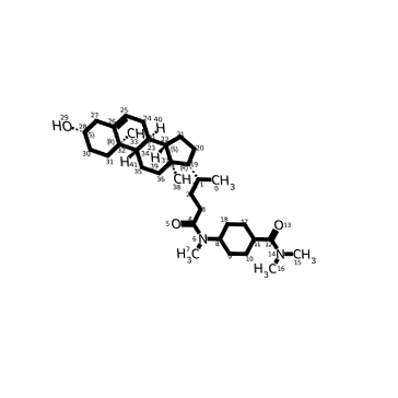 CC(CCC(=O)N(C)C1CCC(C(=O)N(C)C)CC1)[C@H]1CC[C@H]2[C@@H]3CC=C4C[C@@H](O)CC[C@]4(C)[C@H]3CC[C@]12C